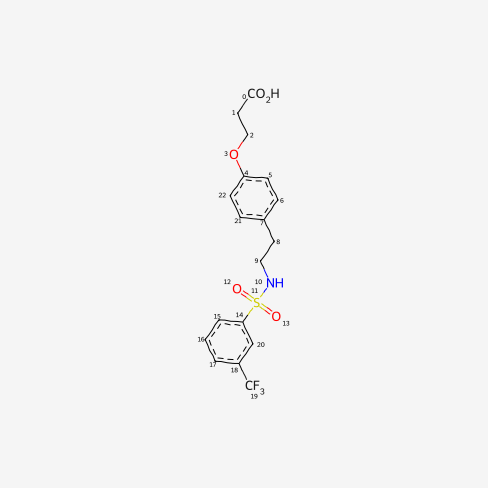 O=C(O)CCOc1ccc(CCNS(=O)(=O)c2cccc(C(F)(F)F)c2)cc1